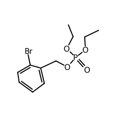 CCOP(=O)(OCC)OCc1ccccc1Br